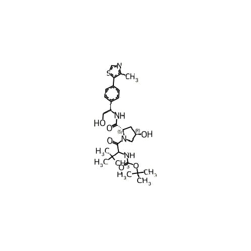 Cc1ncsc1-c1ccc(C(CO)NC(=O)[C@@H]2C[C@@H](O)CN2C(=O)C(NC(=O)OC(C)(C)C)C(C)(C)C)cc1